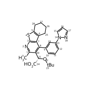 Cc1nc2sc3c(c2c(-c2cccc(-n4cccn4)c2)c1[C@H](OC(C)(C)C)C(=O)O)CCCC3